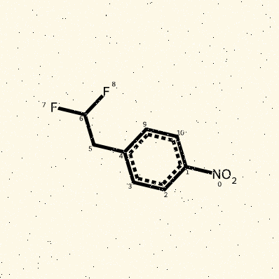 O=[N+]([O-])c1ccc(CC(F)F)cc1